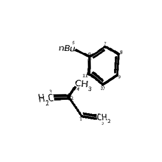 C=CC(=C)C.CCCCc1ccccc1